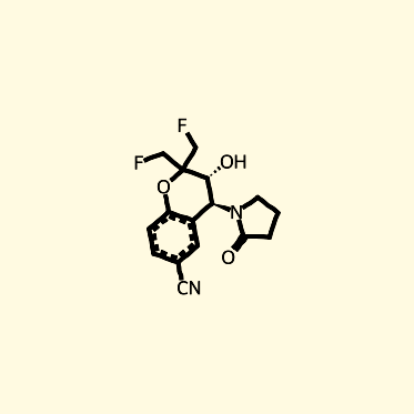 N#Cc1ccc2c(c1)[C@H](N1CCCC1=O)[C@@H](O)C(CF)(CF)O2